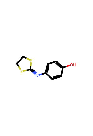 Oc1ccc(N=C2SCCS2)cc1